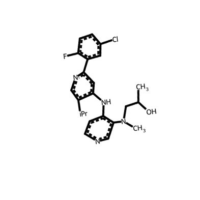 CC(O)CN(C)c1cnccc1Nc1cc(-c2cc(Cl)ccc2F)ncc1C(C)C